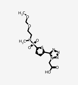 COCOCCN(C)S(=O)(=O)c1ccc(-c2nnnn2CC(=O)O)s1